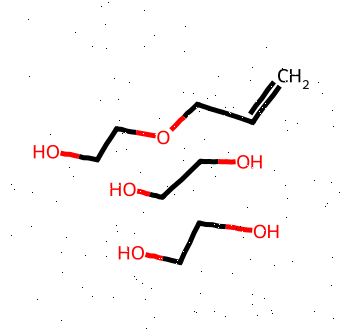 C=CCOCCO.OCCO.OCCO